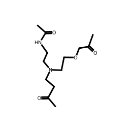 CC(=O)CCN(CCNC(C)=O)CCOCC(C)=O